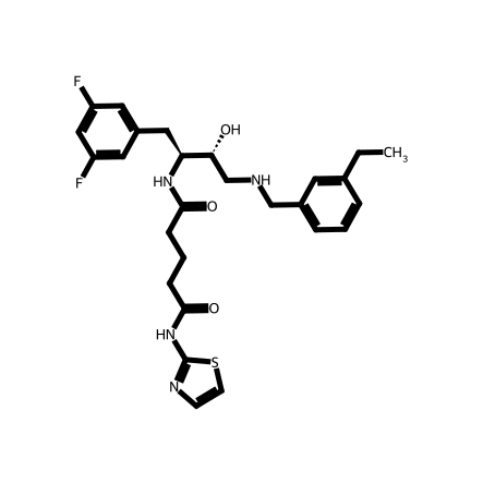 CCc1cccc(CNC[C@@H](O)[C@H](Cc2cc(F)cc(F)c2)NC(=O)CCCC(=O)Nc2nccs2)c1